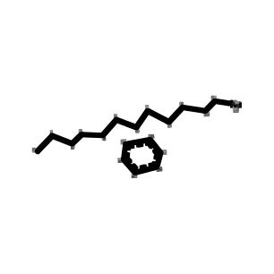 CCCCCCCCCCC[CH2][Na].c1ccccc1